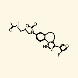 CC(=O)NCC1CN(c2ccc3c(c2)CCCc2c(-c4cocc4F)n[nH]c2-3)C(=O)O1